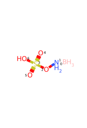 B.NOS(=O)(=O)O